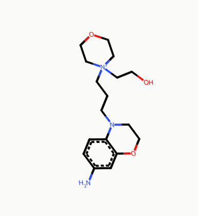 Nc1ccc2c(c1)OCCN2CCC[N+]1(CCO)CCOCC1